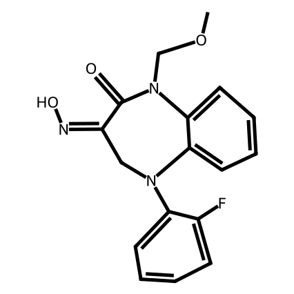 COCN1C(=O)C(=NO)CN(c2ccccc2F)c2ccccc21